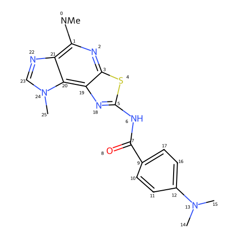 CNc1nc2sc(NC(=O)c3ccc(N(C)C)cc3)nc2c2c1ncn2C